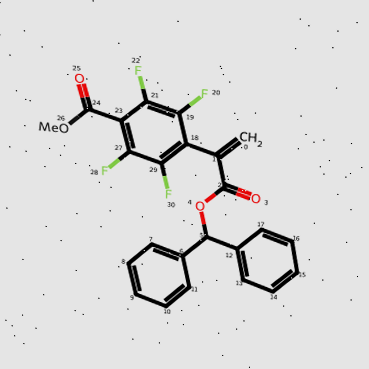 C=C(C(=O)OC(c1ccccc1)c1ccccc1)c1c(F)c(F)c(C(=O)OC)c(F)c1F